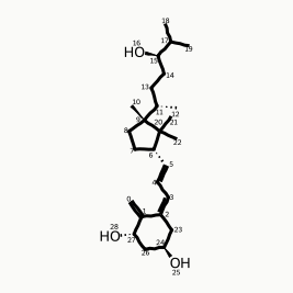 C=C1/C(=C\C=C\[C@@H]2CC[C@](C)([C@@H](C)CC[C@@H](O)C(C)C)C2(C)C)C[C@@H](O)C[C@@H]1O